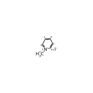 C[n+]1ccccc1.[I-]